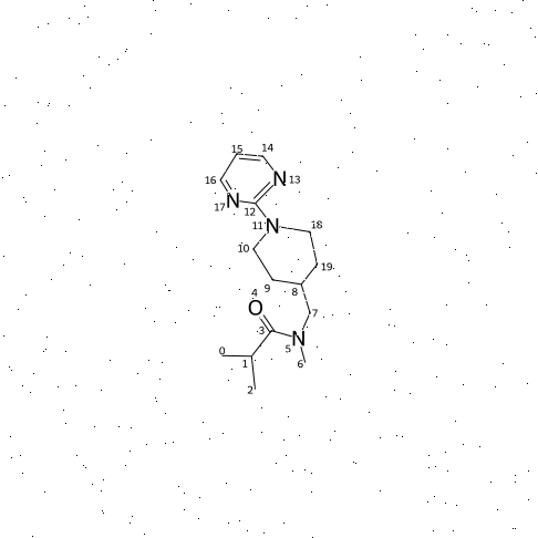 CC(C)C(=O)N(C)CC1CCN(c2ncccn2)CC1